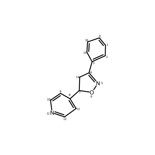 [c]1ccc(C2=NOC(c3ccncc3)C2)cc1